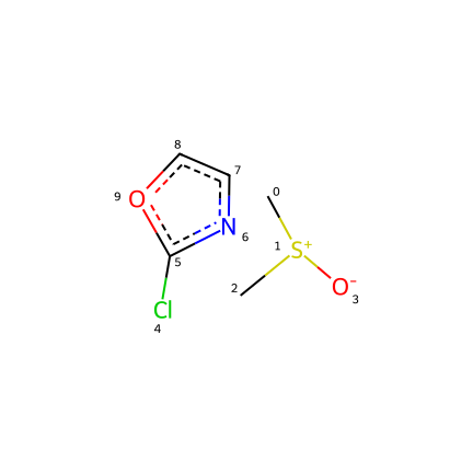 C[S+](C)[O-].Clc1ncco1